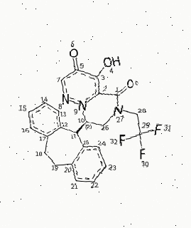 O=C1c2c(O)c(=O)cnn2[C@H](C2c3ccccc3CCc3ccccc32)CN1CC(F)(F)F